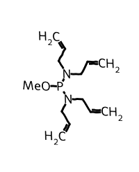 C=CCN(CC=C)P(OC)N(CC=C)CC=C